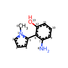 Cn1cccc1-c1c(N)cccc1O